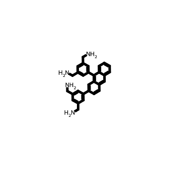 NCc1cc(CN)cc(-c2ccc3cc4ccccc4c(-c4cc(CN)cc(CN)c4)c3c2)c1